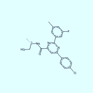 Cc1cc(F)cc(-c2nc(C(=O)N[C@@H](C)CO)cc(-c3ccc(Cl)cc3)n2)c1